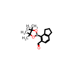 CC1(C)OB(c2c(C=O)ccc3c2CCC3)OC1(C)C